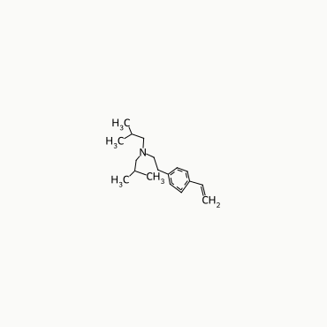 C=Cc1ccc(CCN(CC(C)C)CC(C)C)cc1